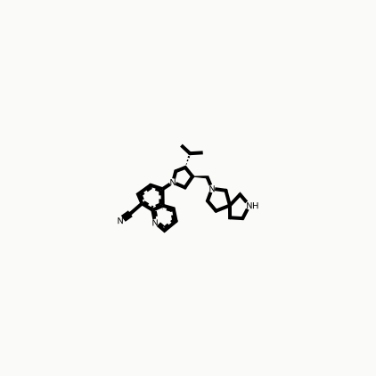 CC(C)[C@H]1CN(c2ccc(C#N)c3ncccc23)C[C@@H]1CN1CCC2(CCNC2)C1